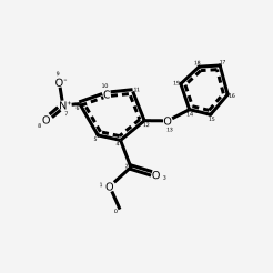 COC(=O)c1cc([N+](=O)[O-])ccc1Oc1ccccc1